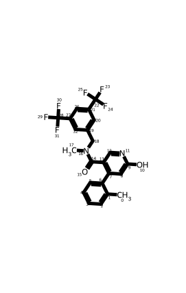 Cc1ccccc1-c1cc(O)ncc1C(=O)N(C)Cc1cc(C(F)(F)F)cc(C(F)(F)F)c1